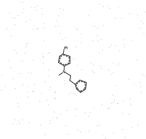 CC(C)c1ccc(N(C)CCc2ccccc2)cc1